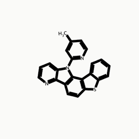 Cc1ccnc(-n2c3cccnc3c3ccc4sc5ccccc5c4c32)c1